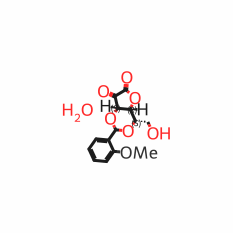 COc1ccccc1C1O[C@@H](CO)[C@H]2OC(=O)C(=O)[C@H]2O1.O